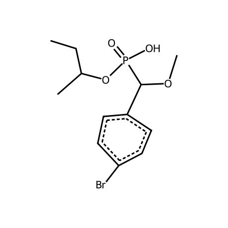 CCC(C)OP(=O)(O)C(OC)c1ccc(Br)cc1